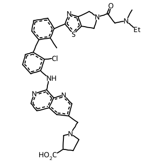 CCN(C)CC(=O)N1Cc2nc(-c3cccc(-c4cccc(Nc5nccc6cc(CN7CCC(C(=O)O)C7)cnc56)c4Cl)c3C)sc2C1